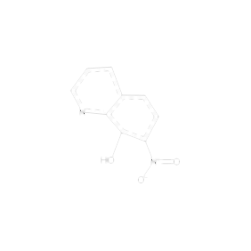 O=[N+]([O-])c1ccc2cccnc2c1O